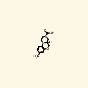 Nc1ccc2c(c1)OC[C@H]1CN(C(=O)O)CCN21